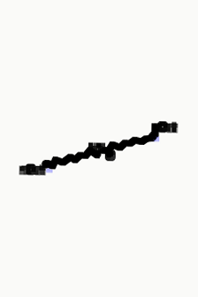 CCCCCCCC/C=C\CCCCCCCC(=O)NCCCCCCCC/C=C/CCCCCCCC